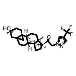 C[C@@]1(O)CC[C@@]23CC2(CC[C@H]2[C@@H]4CC[C@H](C(=O)Cn5cc(C(F)(F)F)cn5)[C@@]4(C)CC[C@@H]23)C1